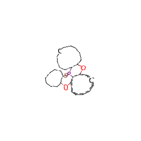 S=P12c3c(cccccccc3OC3CCCCCCCC31)OC1CCCCCCCCCCC12